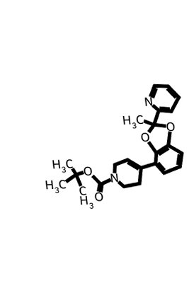 CC(C)(C)OC(=O)N1CC=C(c2cccc3c2OC(C)(c2ccccn2)O3)CC1